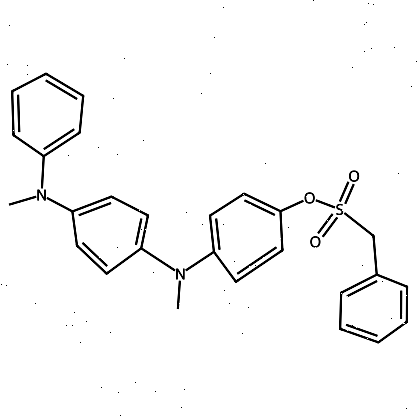 CN(c1ccccc1)c1ccc(N(C)c2ccc(OS(=O)(=O)Cc3ccccc3)cc2)cc1